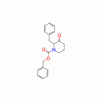 O=C1CCCN(C(=O)OCc2ccccc2)C1Cc1ccccc1